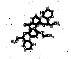 CCOc1ccc(OC(CC)C2CCCNC2)c2c1-c1c(OC(CC)C3CCCNC3)cccc1C2=O